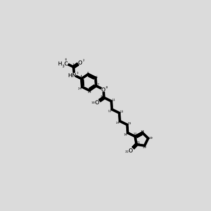 CC(=O)Nc1ccc(OC(=O)CCCCCCC2=CCCC2=O)cc1